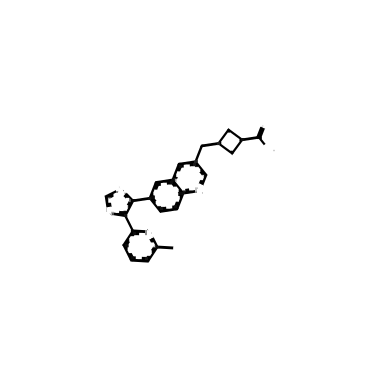 Cc1cccc(-c2[nH]cnc2-c2ccc3ncc(CC4CC(C(=O)O)C4)cc3c2)n1